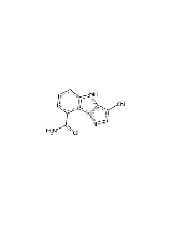 N#Cc1cnn2c1[nH]c1cccc(C(N)=O)c12